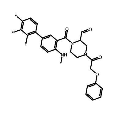 CNc1ccc(-c2ccc(F)c(F)c2F)cc1C(=O)N1CCN(C(=O)COc2ccccc2)CC1C=O